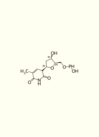 CC1=CC([C@H]2C[C@@H](O)[C@@H](COPO)O2)C(=O)NC1=O